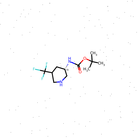 CC(C)(C)OC(=O)N[C@@H]1CNCC(C(F)(F)F)C1